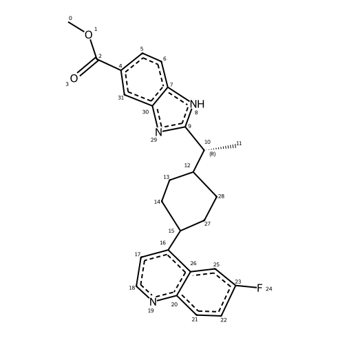 COC(=O)c1ccc2[nH]c([C@H](C)C3CCC(c4ccnc5ccc(F)cc45)CC3)nc2c1